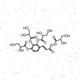 O=C(C=Cc1ccc(OC(=O)C(O)CO)c(OC(=O)C(O)CO)c1OC(=O)C(O)CO)OOC(=O)C(O)CO